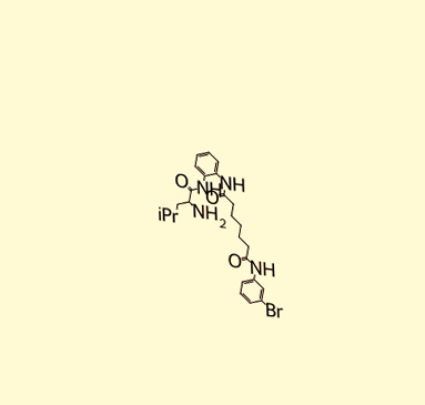 CC(C)C[C@H](N)C(=O)Nc1ccccc1NC(=O)CCCCCC(=O)Nc1cccc(Br)c1